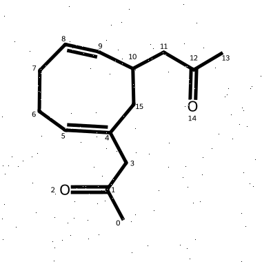 CC(=O)CC1=CCCC=CC(CC(C)=O)C1